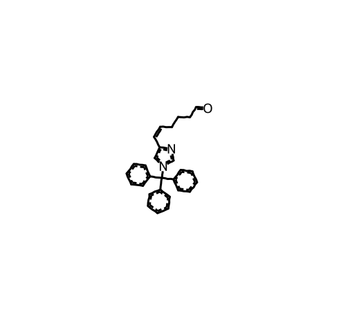 O=CCCC/C=C\c1cn(C(c2ccccc2)(c2ccccc2)c2ccccc2)cn1